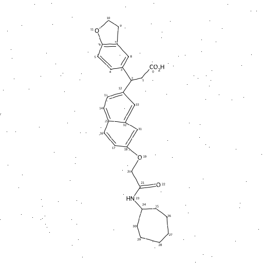 O=C(O)CC(c1ccc2c(c1)CCO2)c1ccc2ccc(OCC(=O)NC3CCCCCC3)cc2c1